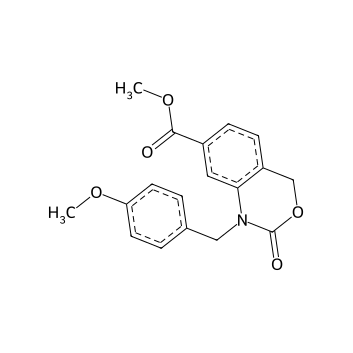 COC(=O)c1ccc2c(c1)N(Cc1ccc(OC)cc1)C(=O)OC2